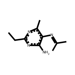 CCc1nc(C)c(N=C(C)C)c(N)n1